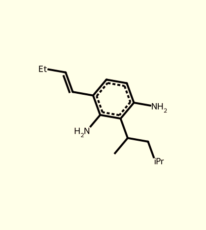 CCC=Cc1ccc(N)c(C(C)CC(C)C)c1N